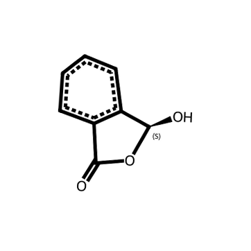 O=C1O[C@H](O)c2ccccc21